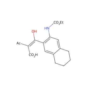 CCOC(=O)Nc1cc2c(cc1C(O)=C(C(C)=O)C(=O)O)CCCC2